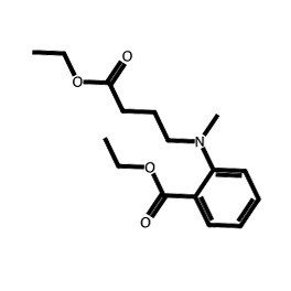 CCOC(=O)CCCN(C)c1ccccc1C(=O)OCC